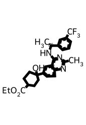 CCOC(=O)C1CCC(O)(c2ccc3nc(C)nc(N[C@H](C)c4cccc(C(F)(F)F)c4)c3c2)CC1